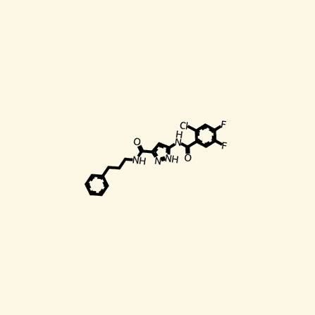 O=C(NCCCc1ccccc1)c1cc(NC(=O)c2cc(F)c(F)cc2Cl)[nH]n1